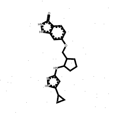 O=c1[nH][nH]c2cc(OCC3CCCC3Nc3cc(C4CC4)[nH]n3)ccc12